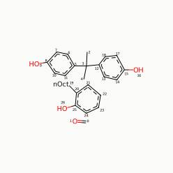 C=O.CC(C)(c1ccc(O)cc1)c1ccc(O)cc1.CCCCCCCCc1ccccc1O